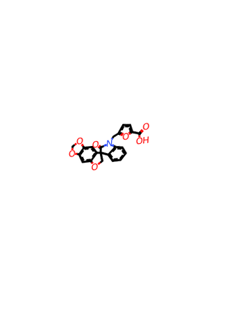 O=C(O)c1ccc(CN2C(=O)C3(COc4cc5c(cc43)OCO5)c3ccccc32)o1